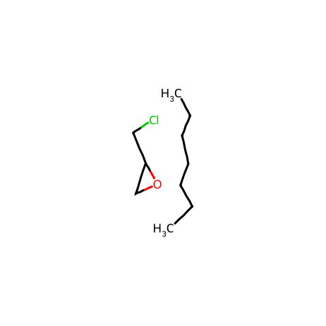 CCCCCCC.ClCC1CO1